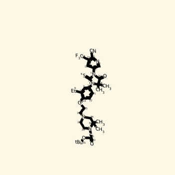 CCc1cc(N2C(=S)N(c3cnc(C#N)c(C(F)(F)F)c3)C(=O)C2(C)C)ccc1OCCN1CCN(CC(=O)OC(C)(C)C)C(C)(C)C1